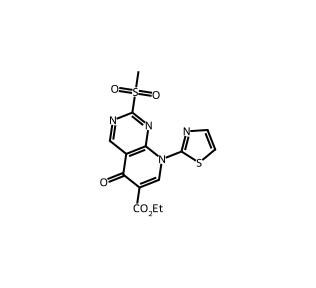 CCOC(=O)c1cn(-c2nccs2)c2nc(S(C)(=O)=O)ncc2c1=O